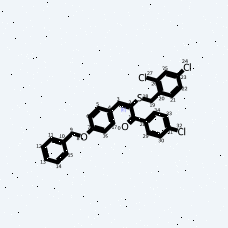 O=C(/C(=C\c1ccc(OCc2ccccc2)cc1)SCc1ccc(Cl)cc1Cl)c1ccc(Cl)cc1